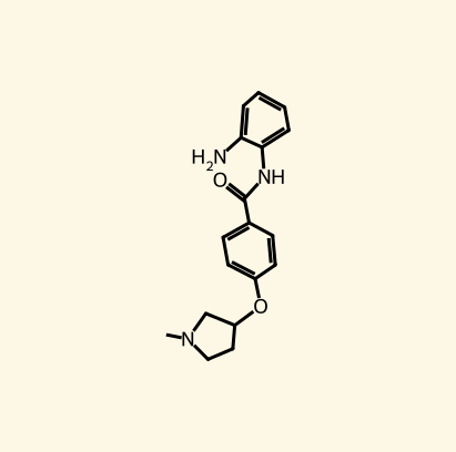 CN1CCC(Oc2ccc(C(=O)Nc3ccccc3N)cc2)C1